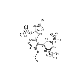 CCCc1ccc2c(c1-c1cc([Si](C)(C)C)cc([Si](C)(C)C)c1)C=C(CC(C)C)[CH]2[Zr]([Cl])[Cl]